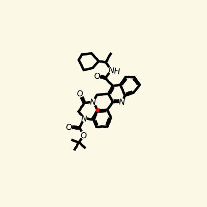 CC(NC(=O)c1c(CN2CCN(C(=O)OC(C)(C)C)CC2=O)c(-c2ccccc2)nc2ccccc12)C1CCCCC1